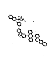 CC1(C)c2ccc(-c3ccc4oc5ccc(-c6c7ccccc7c(-c7cccc8c7ccc7cc9ccccc9cc78)c7ccccc67)cc5c4c3)cc2-c2cc3ccccc3cc21